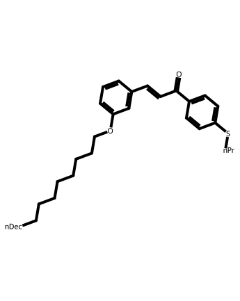 CCCCCCCCCCCCCCCCCCOc1cccc(/C=C/C(=O)c2ccc(SCCC)cc2)c1